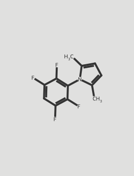 Cc1ccc(C)n1-c1c(F)c(F)cc(F)c1F